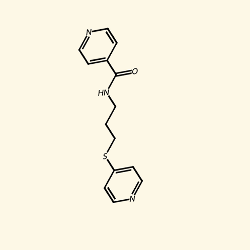 O=C(NCCCSc1ccncc1)c1ccncc1